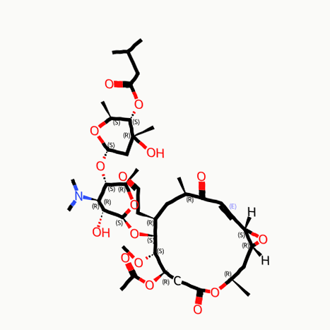 CO[C@@H]1[C@@H](O[C@@H]2O[C@H](C)[C@@H](O[C@H]3C[C@@](C)(O)[C@@H](OC(=O)CC(C)C)[C@H](C)O3)[C@H](N(C)C)[C@H]2O)[C@@H](CC=O)C[C@@H](C)C(=O)/C=C/[C@@H]2O[C@@H]2C[C@@H](C)OC(=O)C[C@H]1OC(C)=O